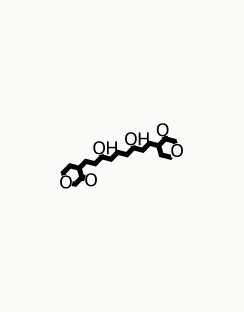 O=C1COCCC1CCC(O)CCCC(O)CCC1CCOCC1=O